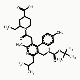 CCC1CC(C(=O)O)CCN1C(=O)Cc1c(C)nc(CC(C)C)c(CNC(=O)OC(C)(C)C)c1-c1ccc(C)cc1